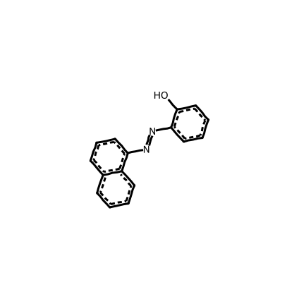 Oc1ccccc1N=Nc1cccc2ccccc12